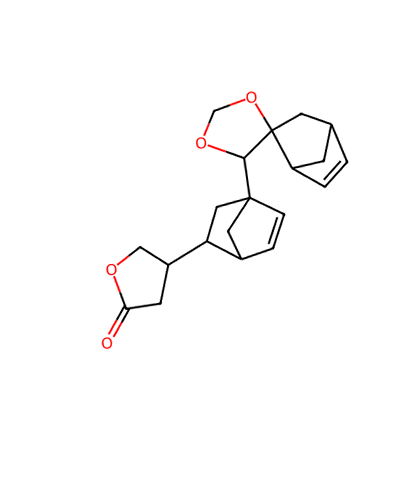 O=C1CC(C2CC3(C4OCOC45CC4C=CC5C4)C=CC2C3)CO1